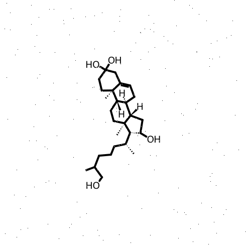 CC(CO)CCC[C@@H](C)[C@H]1C(O)C[C@H]2[C@@H]3CC=C4CC(O)(O)CC[C@]4(C)[C@H]3CC[C@]12C